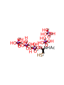 CC(=O)NC(CS)C(=O)O.O=P(O)(O)O.O=P(O)(O)O.O=P(O)(O)O.O=P(O)(O)O.O=P(O)(O)O